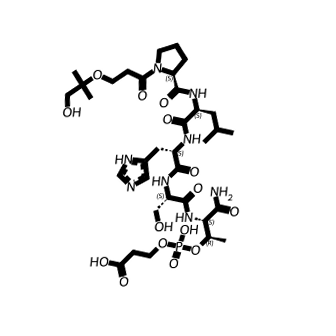 CC(C)C[C@H](NC(=O)[C@@H]1CCCN1C(=O)CCOC(C)(C)CO)C(=O)N[C@@H](Cc1cnc[nH]1)C(=O)N[C@@H](CO)C(=O)N[C@H](C(N)=O)[C@@H](C)OP(=O)(O)OCCC(=O)O